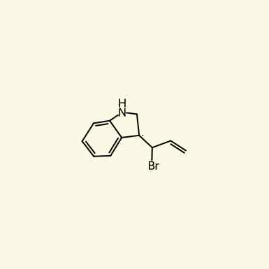 C=CC(Br)[C]1CNc2ccccc21